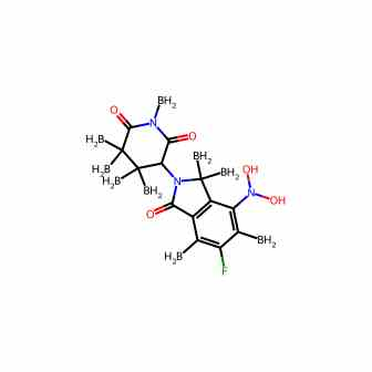 Bc1c(F)c(B)c(N(O)O)c2c1C(=O)N(C1C(=O)N(B)C(=O)C(B)(B)C1(B)B)C2(B)B